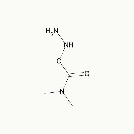 CN(C)C(=O)ONN